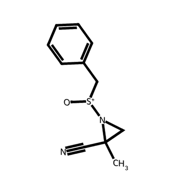 CC1(C#N)CN1[S+]([O-])Cc1ccccc1